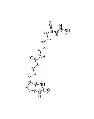 O=C(CCCC[C@@H]1SCC2NC(=O)NC21)NCCCCCC(=O)ONS